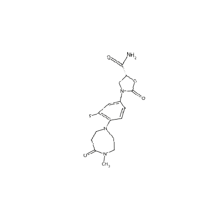 CN1CCN(c2ccc(N3C[C@H](C(N)=O)OC3=O)cc2F)CCC1=O